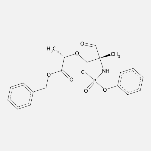 C[C@H](OC[C@](C)(C=O)NP(=O)(Cl)Oc1ccccc1)C(=O)OCc1ccccc1